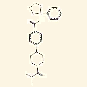 CC(C)C(=O)N1CCC(c2ccc(C(=O)N[C@@]3(c4cccnn4)CCNC3)cc2)CC1